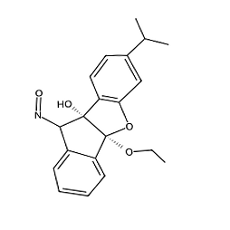 CCO[C@@]12Oc3cc(C(C)C)ccc3[C@]1(O)C(N=O)c1ccccc12